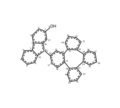 Oc1ccc2c3ccccc3n(-c3cc4c(cn3)-c3ccccc3-c3ccccc3-c3ccccc3-4)c2c1